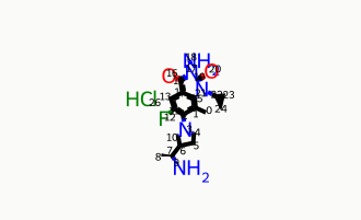 Cc1c(N2CCC([C@H](C)N)C2)c(F)cc2c(=O)n(N)c(=O)n(C3CC3)c12.Cl